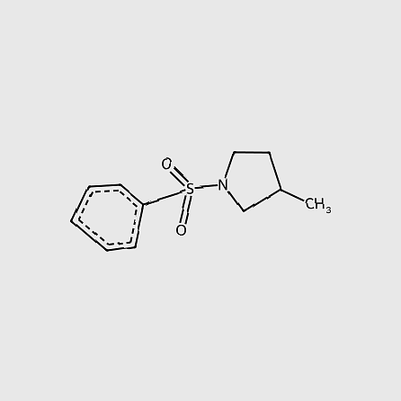 CC1CCN(S(=O)(=O)c2ccccc2)C1